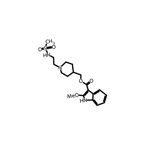 COc1[nH]c2ccccc2c1C(=O)OCC1CCN(CCNS(C)(=O)=O)CC1